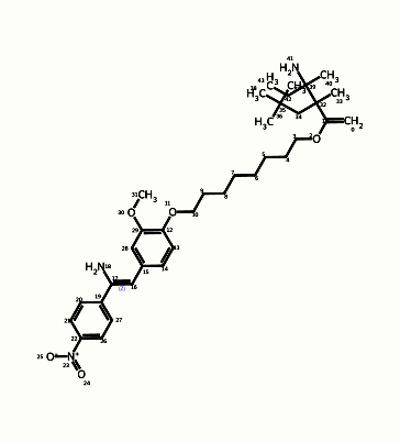 C=C(OCCCCCCCCOc1ccc(/C=C(\N)c2ccc([N+](=O)[O-])cc2)cc1OC)C(C)(CC(C)(C)C)C(C)(N)CC